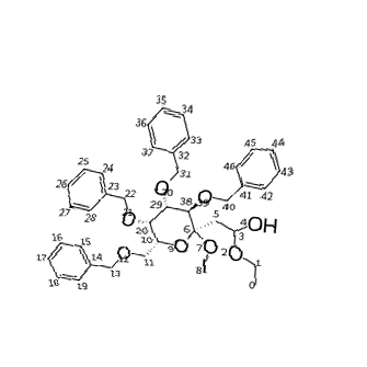 CCOC(O)C[C@]1(OI)O[C@H](COCc2ccccc2)[C@H](OCc2ccccc2)[C@H](OCc2ccccc2)[C@H]1OCc1ccccc1